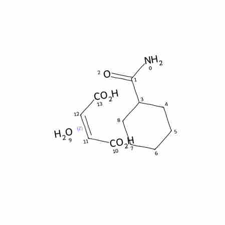 NC(=O)C1CCCCC1.O.O=C(O)/C=C\C(=O)O